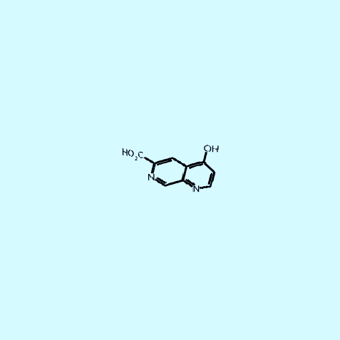 O=C(O)c1cc2c(O)ccnc2cn1